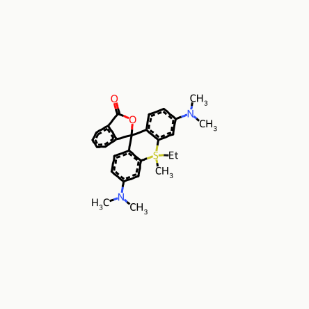 CCS1(C)c2cc(N(C)C)ccc2C2(OC(=O)c3ccccc32)c2ccc(N(C)C)cc21